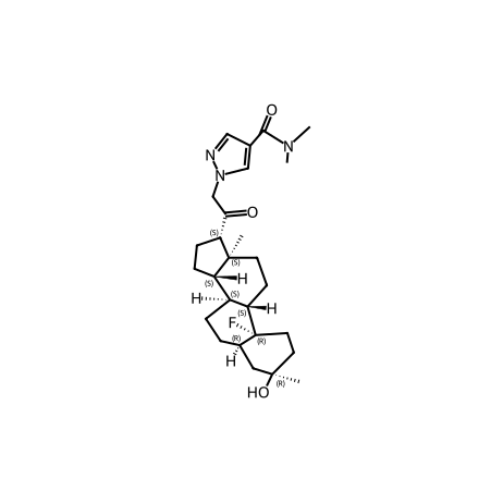 CN(C)C(=O)c1cnn(CC(=O)[C@H]2CC[C@H]3[C@@H]4CC[C@@H]5C[C@](C)(O)CC[C@]5(F)[C@H]4CC[C@]23C)c1